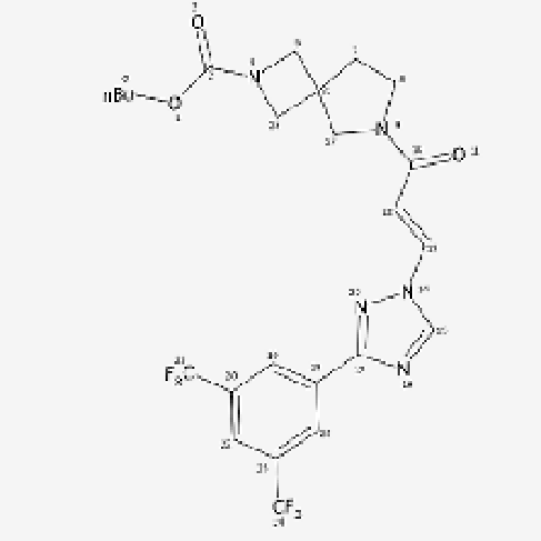 CCCCOC(=O)N1CC2(CCN(C(=O)C=Cn3cnc(-c4cc(C(F)(F)F)cc(C(F)(F)F)c4)n3)C2)C1